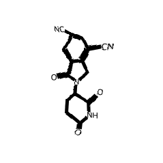 N#Cc1cc(C#N)c2c(c1)C(=O)N(C1CCC(=O)NC1=O)C2